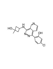 CC1(O)CC(Nc2nnc(-c3ccc(Cl)cc3O)c3ccncc23)C1